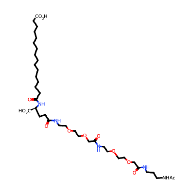 CC(=O)NCCCNC(=O)COCCOCCNC(=O)COCCOCCNC(=O)CC[C@H](NC(=O)CCCCCCCCCCCCCCC(=O)O)C(=O)O